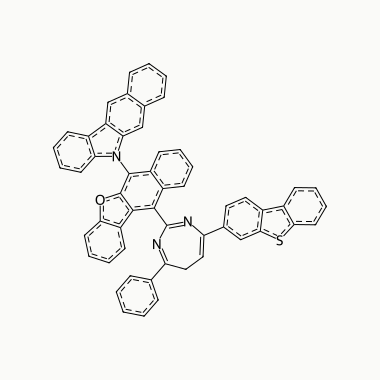 C1=C(c2ccc3c(c2)sc2ccccc23)N=C(c2c3ccccc3c(-n3c4ccccc4c4cc5ccccc5cc43)c3oc4ccccc4c23)N=C(c2ccccc2)C1